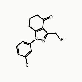 CC(C)Cc1nn(-c2cccc(Cl)c2)c2c1C(=O)CCC2